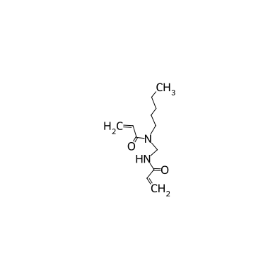 C=CC(=O)NCN(CCCCC)C(=O)C=C